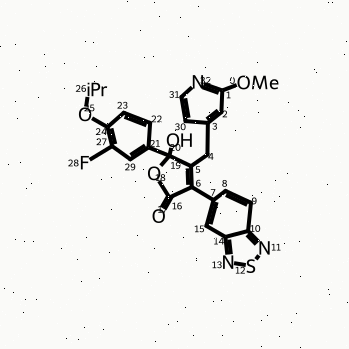 COc1cc(CC2=C(c3ccc4nsnc4c3)C(=O)OC2(O)c2ccc(OC(C)C)c(F)c2)ccn1